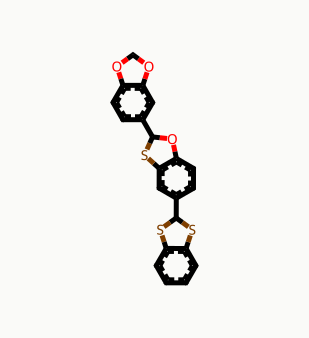 c1ccc2c(c1)SC(c1ccc3c(c1)SC(c1ccc4c(c1)OCO4)O3)S2